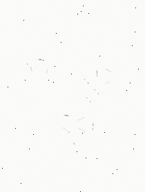 NC(N)(CCCCc1ccncc1)Nc1ccc(Cl)cc1.O=C(O)c1ccccc1C(=O)O